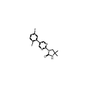 CC1(C)CN(c2ncc(-c3cc(F)ccc3F)cn2)C(=O)N1